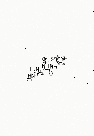 C=CN/C=C(\N)C[C@@H]1NC(=O)[C@H](Cc2c[nH]cn2)NC1=O